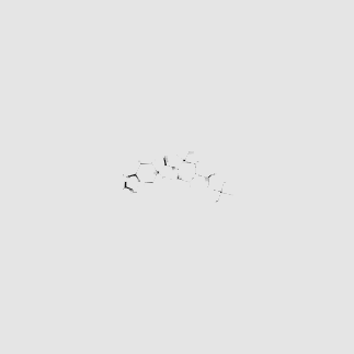 CC(C)(C)OC(=O)N1CCN(C(=O)C2(O)CCc3ncnn3C2)C(C)(C)C1